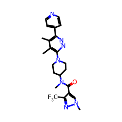 Cc1c(-c2ccncc2)nnc(N2CCC(N(C)C(=O)c3cn(C)nc3C(F)(F)F)CC2)c1C